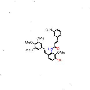 COc1cc(C=Cc2ccc(O)c(OC)c2NC(=O)/C=C/c2cccc([N+](=O)[O-])c2)cc(OC)c1OC